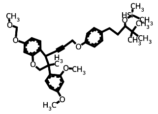 COCOc1ccc2c(c1)OCC(C)(c1ccc(OC)cc1OC)C2C#CCOc1ccc(CCC(O[SiH](C)C)C(C)(C)C)cc1